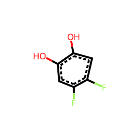 Oc1cc(F)c(F)cc1O